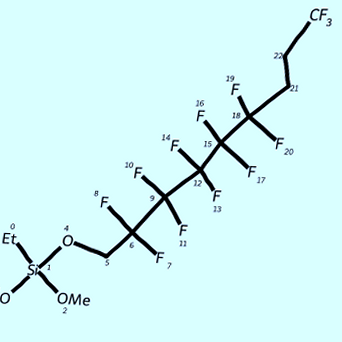 CC[Si](OC)(OC)OCC(F)(F)C(F)(F)C(F)(F)C(F)(F)C(F)(F)CCC(F)(F)F